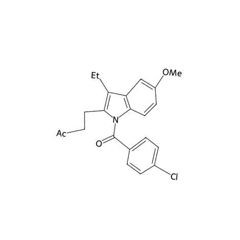 CCc1c(CCC(C)=O)n(C(=O)c2ccc(Cl)cc2)c2ccc(OC)cc12